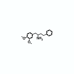 COc1ccc(CC(N)CCc2ccccc2)cc1OC